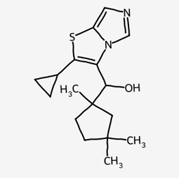 CC1(C)CCC(C)(C(O)c2c(C3CC3)sc3cncn23)C1